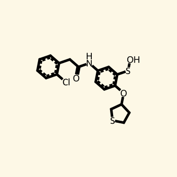 O=C(Cc1ccccc1Cl)Nc1ccc(OC2CCSC2)c(SO)c1